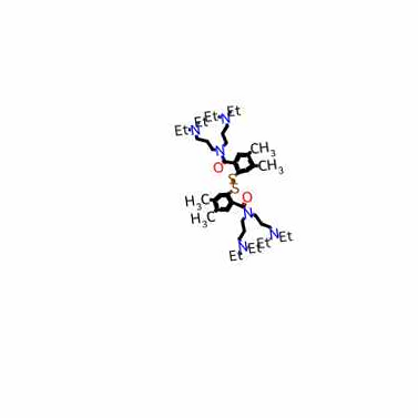 CCN(CC)CCCN(CCCN(CC)CC)C(=O)c1cc(C)c(C)cc1SSc1cc(C)c(C)cc1C(=O)N(CCCN(CC)CC)CCCN(CC)CC